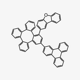 c1ccc2c(c1)-c1ccccc1-c1cc(-c3ccc4c5ccccc5c5ccccc5c4c3)cc(-c3ccc4oc5ccccc5c4c3)c1-c1ccccc1-2